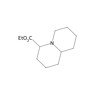 CCOC(=O)C1CCCC2CCCCN21